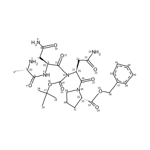 C[C@H](N)C(=O)N[C@@H](CC(N)=O)C(=O)N(C(=O)OC(C)(C)C)[C@@H](CC(N)=O)C(=O)N1CCC[C@H]1C(=O)OCc1ccccc1